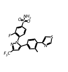 Cc1cc(-c2cc(C(F)(F)F)nn2-c2ccc(S(N)(=O)=O)cc2F)ccc1-c1cscn1